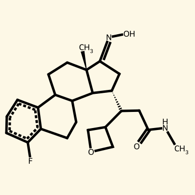 CNC(=O)CC(C1COC1)[C@H]1C/C(=N\O)[C@@]2(C)CCC3c4cccc(F)c4CCC3C12